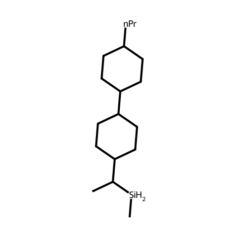 CCCC1CCC(C2CCC(C(C)[SiH2]C)CC2)CC1